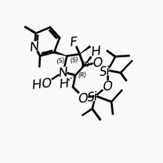 Cc1ccc([C@@H]2N(O)[C@@H]3CO[Si](C(C)C)(C(C)C)O[Si](C(C)C)(C(C)C)O[C@H]3[C@@]2(C)F)c(C)n1